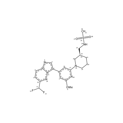 COc1cc(-c2cnc3ccc(C(F)F)nn23)cc(N2CCC[C@H](CNS(C)(=O)=O)C2)n1